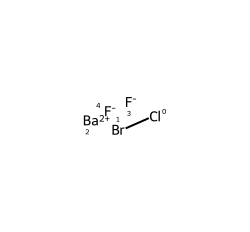 ClBr.[Ba+2].[F-].[F-]